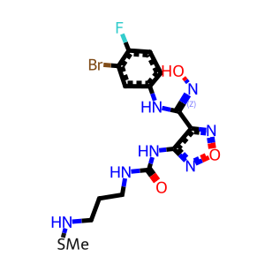 CSNCCCNC(=O)Nc1nonc1/C(=N/O)Nc1ccc(F)c(Br)c1